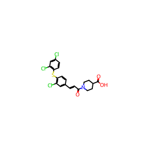 O=C(O)C1CCN(C(=O)C=Cc2ccc(Sc3ccc(Cl)cc3Cl)c(Cl)c2)CC1